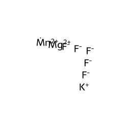 [F-].[F-].[F-].[F-].[F-].[K+].[Mg+2].[Mn+2]